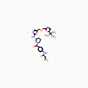 C=CC(=O)Nc1ccc(C(=O)N2CCC[C@@H](Nc3ncc(COCc4ncc(C(C)(C)C)o4)s3)C2)cc1